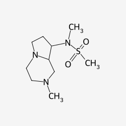 CN1CCN2CCC(N(C)S(C)(=O)=O)C2C1